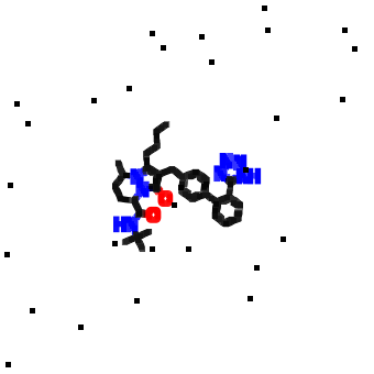 CCCCc1c(Cc2ccc(-c3ccccc3-c3nnn[nH]3)cc2)c(=O)n2n1C(C)CCC2C(=O)NC(C)(C)C